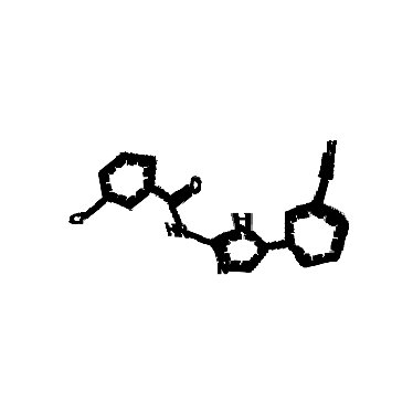 N#Cc1cccc(-c2cnc(NC(=O)c3cccc(Cl)c3)[nH]2)c1